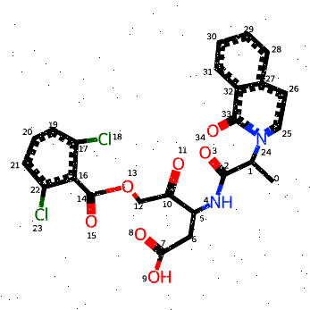 CC(C(=O)NC(CC(=O)O)C(=O)COC(=O)c1c(Cl)cccc1Cl)n1ccc2ccccc2c1=O